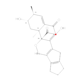 C[C@H]1C=C2C(=O)C=C3C4=C(NO[C@]3(C(=O)CO)[C@@]2(C)C[C@@H]1O)C1=C(CCC1)C4